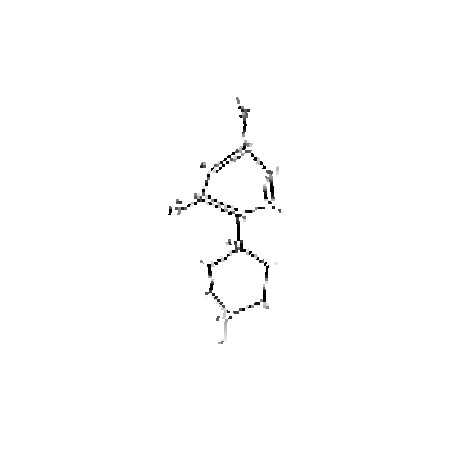 CN1CCN(c2ncc(Br)cc2Cl)CC1